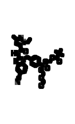 CCn1nc(C)cc1C(=O)Nc1nc2cc(C#N)ccc2n1Cc1ccc(P(=O)(OCOC=O)OCOC(=O)C(C)(C)C)cc1